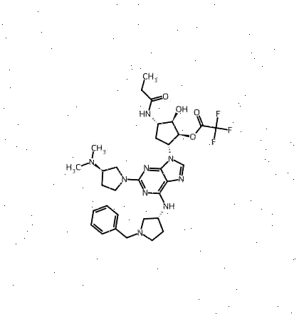 CCC(=O)N[C@H]1C[C@@H](n2cnc3c(N[C@@H]4CCN(Cc5ccccc5)C4)nc(N4CC[C@@H](N(C)C)C4)nc32)[C@H](OC(=O)C(F)(F)F)[C@@H]1O